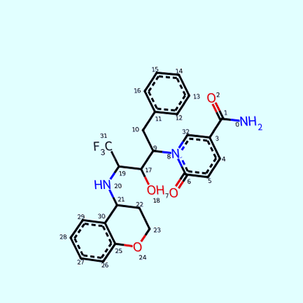 NC(=O)c1ccc(=O)n(C(Cc2ccccc2)C(O)C(NC2CCOc3ccccc32)C(F)(F)F)c1